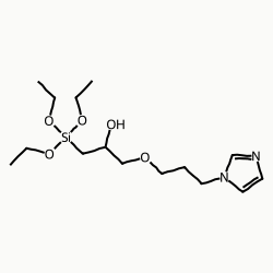 CCO[Si](CC(O)COCCCn1ccnc1)(OCC)OCC